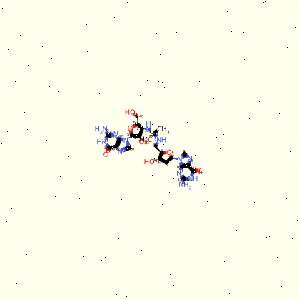 C[Si](C)(NC[C@H]1O[C@@H](n2cnc3c(=O)[nH]c(N)nc32)C[C@@H]1O)N[C@H]1[C@@H](O)[C@H](n2cnc3c(=O)[nH]c(N)nc32)O[C@@H]1CO